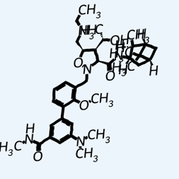 CCNC[C@@H]1ON(Cc2cccc(-c3cc(C(=O)NC)cc(N(C)C)c3)c2OC)[C@H](C(=O)N[C@H]2C[C@H]3C[C@@H]([C@@H]2C)C3(C)C)[C@@H]1[C@H](C)O